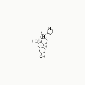 CC1=C(c2cccnc2)[C@@]2(C)CC[C@@H]3[C@@H](C(O)C=C4CC(O)CC[C@@]43C)[C@@H]2C1